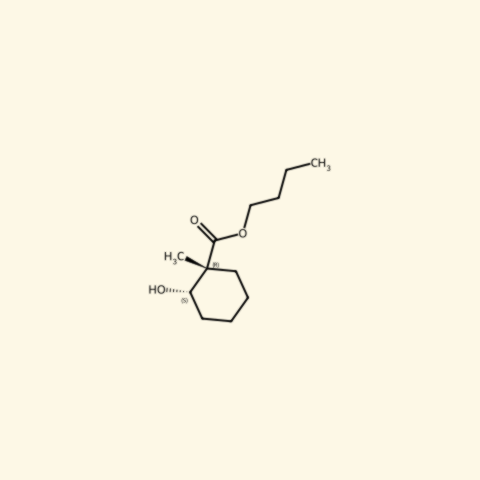 CCCCOC(=O)[C@]1(C)CCCC[C@@H]1O